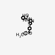 CN1CCN(C(=O)c2ccc(-c3cc4ncnc(N[C@H](CO)c5ccccc5)c4s3)cc2)CC1